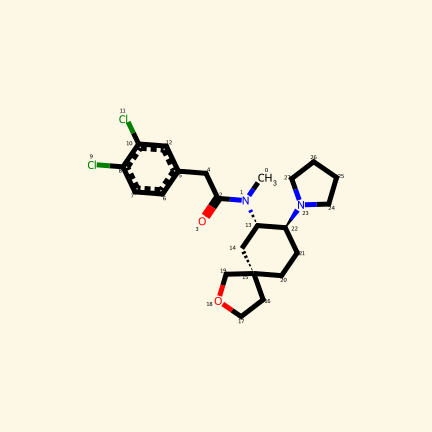 CN(C(=O)Cc1ccc(Cl)c(Cl)c1)[C@H]1C[C@@]2(CCOC2)CC[C@@H]1N1CCCC1